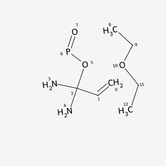 C=CC(N)(N)OP=O.CCOCC